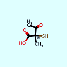 CC(=O)[C@](C)(S)C(=O)O